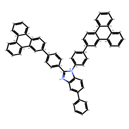 c1ccc(-c2ccc3c(c2)nc(-c2ccc(-c4ccc5c6ccccc6c6ccccc6c5c4)cc2)n3-c2ccc(-c3ccc4c5ccccc5c5ccccc5c4c3)cc2)cc1